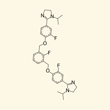 CC(C)N1CCN=C1c1ccc(OCc2cccc(COc3ccc(C4=NCCN4C(C)C)cc3F)c2F)c(F)c1